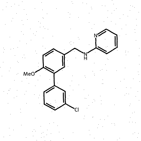 COc1ccc(CNc2ccccn2)cc1-c1cccc(Cl)c1